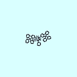 c1ccc(C2=NC(c3ccc4c(c3)C(c3ccccc3)(c3ccccc3)c3ccccc3-4)=NC(c3ccc4c(c3)C(c3ccccc3)(c3ccccc3)c3ccccc3-4)N2)cc1